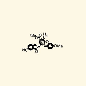 COc1ccc(CN2C[C@@H](C)N(C(=O)OC(C)(C)C)C[C@@H]2CN2Cc3ccc(C#N)cc3C2=O)c(OC)c1